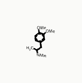 [CH2]NC(C)Cc1ccc(OC)c(OC)c1